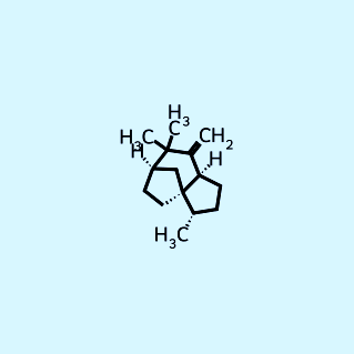 C=C1[C@H]2CC[C@H](C)[C@]23CC[C@H](C3)C1(C)C